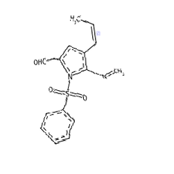 C=Nc1c(/C=C\C)cc(C=O)n1S(=O)(=O)c1ccccc1